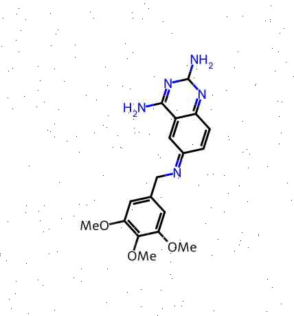 COc1cc(C/N=C2/C=CC3=NC(N)N=C(N)C3=C2)cc(OC)c1OC